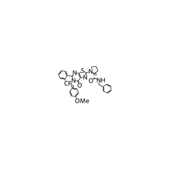 COc1ccc(Cn2c(-c3ccccc3C(F)(F)F)nc3sc(N4CCC[C@@H]4C(=O)NCc4ccccc4)nc3c2=O)cc1